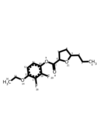 CCCC1CCC(C(=O)Oc2ccc(OCC)c(F)c2F)O1